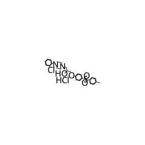 Cc1ccc(S(=O)(=O)c2ccc(OCC(O)CN3CCN(c4ccccc4Cl)CC3)cc2)cc1.Cl